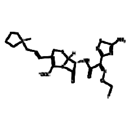 C[N+]1(C/C=C/C2=C(C(=O)[O-])N3C(=O)[C@@H](NC(=O)/C(=N\OCF)c4nsc(N)n4)[C@@H]3SC2)CCCC1